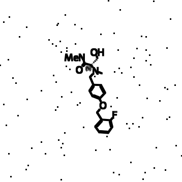 CNC(=O)[C@H](CO)N(C)Cc1ccc(OCc2ccccc2F)cc1